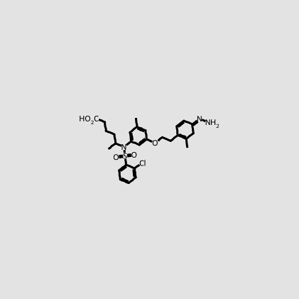 CC1=C(CCOc2cc(C)cc(N(C(C)CCCC(=O)O)S(=O)(=O)c3ccccc3Cl)c2)C=CC(=NN)C1